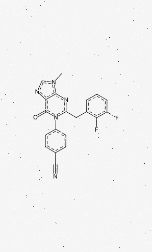 Cn1cnc2c(=O)n(-c3ccc(C#N)cc3)c(Cc3cccc(F)c3F)nc21